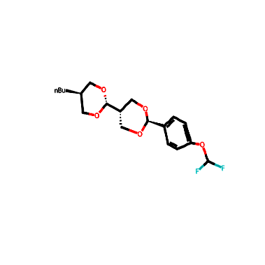 CCCC[C@H]1CO[C@H]([C@H]2CO[C@H](c3ccc(OC(F)F)cc3)OC2)OC1